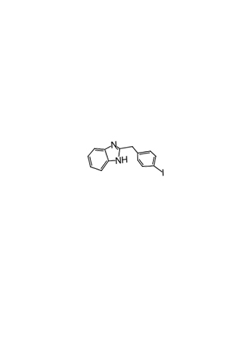 Ic1ccc(Cc2nc3ccccc3[nH]2)cc1